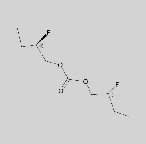 CC[C@@H](F)COC(=O)OC[C@H](F)CC